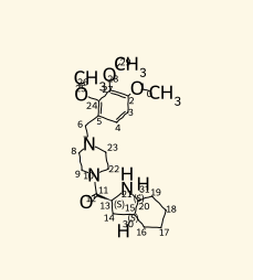 COc1ccc(CN2CCN(C(=O)[C@@H]3C[C@@H]4CCCC[C@@H]4N3)CC2)c(OC)c1OC